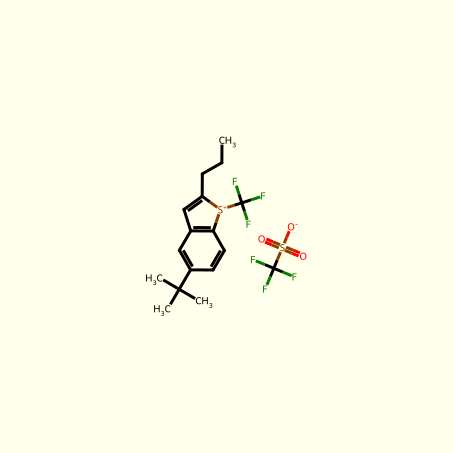 CCCc1cc2cc(C(C)(C)C)ccc2[s+]1C(F)(F)F.O=S(=O)([O-])C(F)(F)F